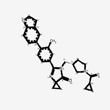 Cc1cc(C2=NC3(CC3)C(=O)N2C[C@@H]2CCN(C(=O)C3CC3)C2)ccc1-c1ccc2occc2c1